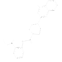 COC(=O)c1ccccc1NC(=O)C1CCN(c2nc3ccccc3[n+]([O-])n2)CC1